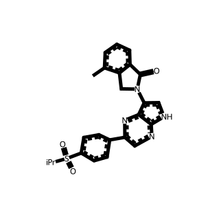 Cc1cccc2c1CN(c1c[nH]c3ncc(-c4ccc(S(=O)(=O)C(C)C)cc4)nc13)C2=O